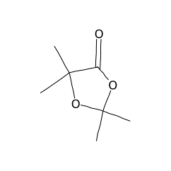 CC1(C)OC(=O)C(C)(C)O1